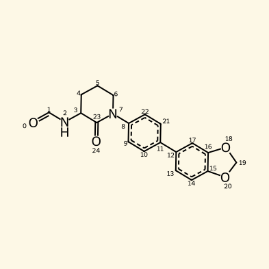 O=CNC1CCCN(c2ccc(-c3ccc4c(c3)OCO4)cc2)C1=O